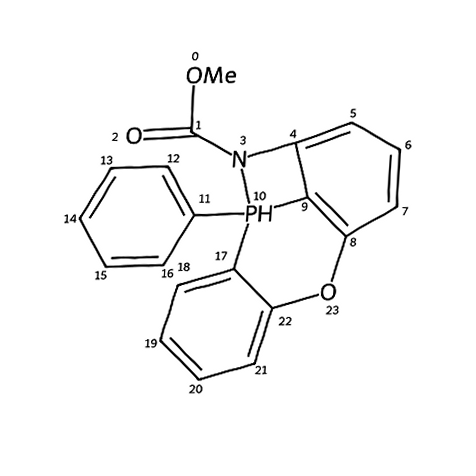 COC(=O)N1c2cccc3c2[PH]1(c1ccccc1)c1ccccc1O3